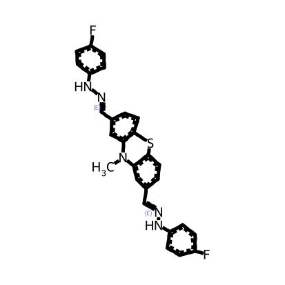 CN1c2cc(/C=N/Nc3ccc(F)cc3)ccc2Sc2ccc(/C=N/Nc3ccc(F)cc3)cc21